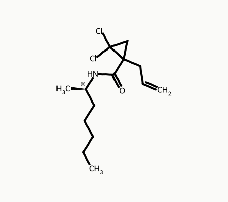 C=CCC1(C(=O)N[C@H](C)CCCCC)CC1(Cl)Cl